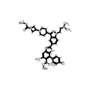 CCOC(=O)[C@@H](OC(C)(C)C)c1c(C)cc2nc(-c3ccc4c(c3)c(C3CCN(C5CN(C(=O)OC(C)(C)C)C5)CC3)nn4CCN(C)C)sc2c1-c1ccc(Cl)cc1